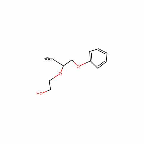 CCCCCCCCC(COc1ccccc1)OCCO